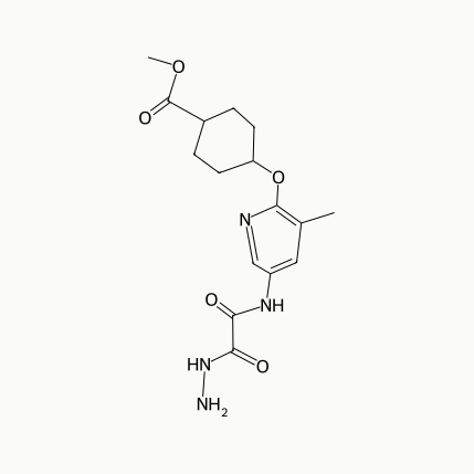 COC(=O)C1CCC(Oc2ncc(NC(=O)C(=O)NN)cc2C)CC1